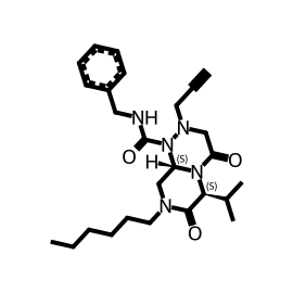 C#CCN1CC(=O)N2[C@@H](C(C)C)C(=O)N(CCCCCC)C[C@@H]2N1C(=O)NCc1ccccc1